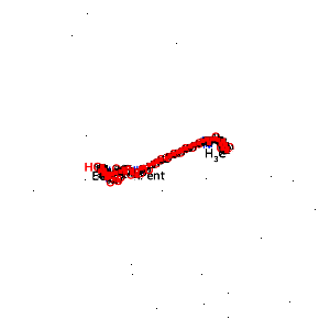 CCCCCC(CC(=O)COCC(=O)CCCOCCOCCOCCOCCOCCOCCOCCOCCn1cc(CCC(=O)C2CCC(CN3C(=O)CC(C)C3=O)CC2)nn1)C(=O)Nc1ccc(COC(=O)OC2(CC)C(=O)OCc3c2cc2n(c3=O)Cc3c-2nc2ccc(O)cc2c3CC)cc1